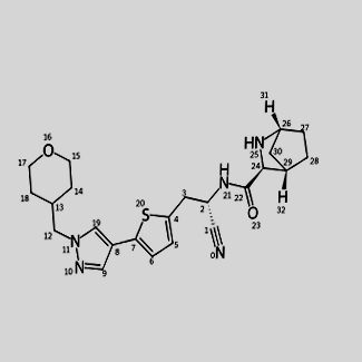 N#C[C@H](Cc1ccc(-c2cnn(CC3CCOCC3)c2)s1)NC(=O)[C@H]1N[C@@H]2CC[C@H]1C2